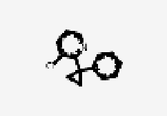 Clc1[c]ccnc1C1(c2ccccc2)CC1